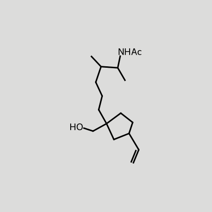 C=CC1CCC(CO)(CCCC(C)C(C)NC(C)=O)C1